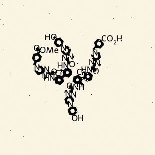 COC(=O)C1CCC(CN2CCc3c(nc(C(=O)Nc4cccc(-c5cccc(NC(=O)c6nc7c(n6C)CCN(C6CCC(O)CC6)C7)c5C)c4Cl)n3C)C2)CC1.Cc1c(NC(=O)c2nc3c(n2C)CCN(C2CCC(O)CC2)C3)cccc1-c1cccc(NC(=O)c2nc3c(n2C)CCN(CC2CCC(C(=O)O)CC2)C3)c1Cl